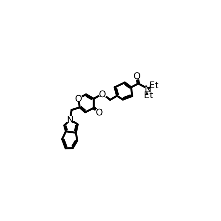 CCN(CC)C(=O)c1ccc(COc2coc(Cn3cc4ccccc4c3)cc2=O)cc1